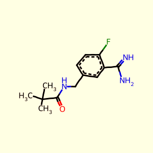 CC(C)(C)C(=O)NCc1ccc(F)c(C(=N)N)c1